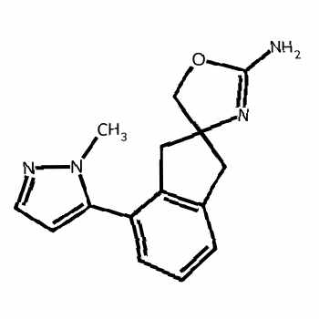 Cn1nccc1-c1cccc2c1CC1(COC(N)=N1)C2